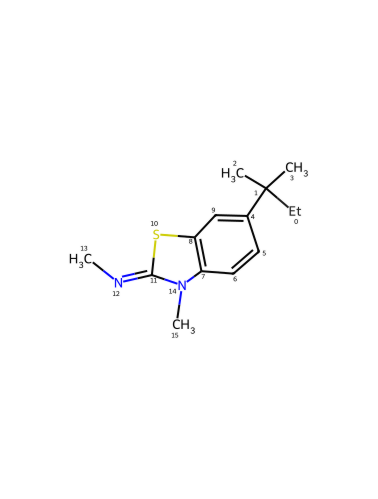 CCC(C)(C)c1ccc2c(c1)s/c(=N\C)n2C